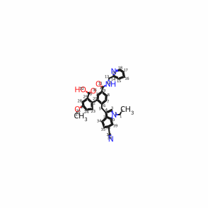 CCn1cc(Cc2ccc(C(=O)NCc3ccccn3)cc2-c2ccc(OC)cc2C(=O)O)c2ccc(C#N)cc21